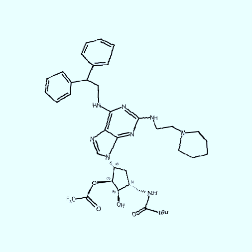 CC(C)(C)C(=O)N[C@H]1C[C@@H](n2cnc3c(NCC(c4ccccc4)c4ccccc4)nc(NCCN4CCCCC4)nc32)[C@H](OC(=O)C(F)(F)F)[C@@H]1O